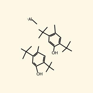 Cc1cc(C(C)(C)C)c(O)cc1C(C)(C)C.Cc1cc(C(C)(C)C)c(O)cc1C(C)(C)C.[CH3][Al]